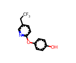 Oc1ccc(Oc2ccc(CC(F)(F)F)cn2)cc1